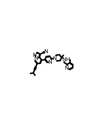 Cc1cccnc1CNC1(C)CCN(c2ccc(-c3cc(C#CC(C)C)cn4ncc(C#N)c34)cn2)CC1